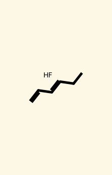 C=CC=CCC.F